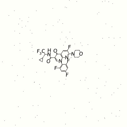 O=C(NC(C1CC1)C(F)(F)F)c1cn(-c2c(F)cc(F)cc2F)c2nc(N3CCOCC3)c(F)cc2c1=O